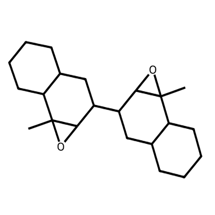 CC12OC1C(C1CC3CCCCC3C3(C)OC13)CC1CCCCC12